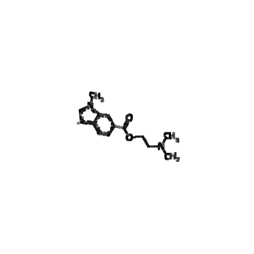 CN(C)CCOC(=O)c1ccc2[c]cn(C)c2c1